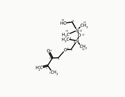 C=C(C)C(=O)COC[Si](C)(C)O[Si](C)(C)CO